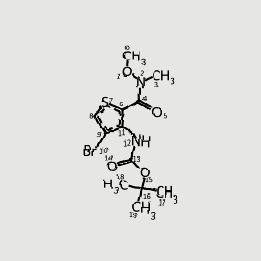 CON(C)C(=O)c1scc(Br)c1NC(=O)OC(C)(C)C